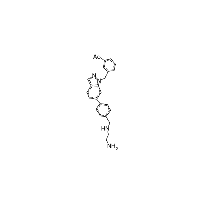 CC(=O)c1cccc(Cn2ncc3ccc(-c4ccc(CNCCN)cc4)cc32)c1